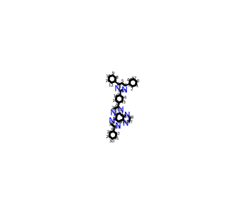 c1ccc(-c2cc(-c3ccccc3)nc(-c3ccc(-c4cnc5c6ncc(-c7ccccc7)nc6c6nccnc6c5n4)cc3)n2)cc1